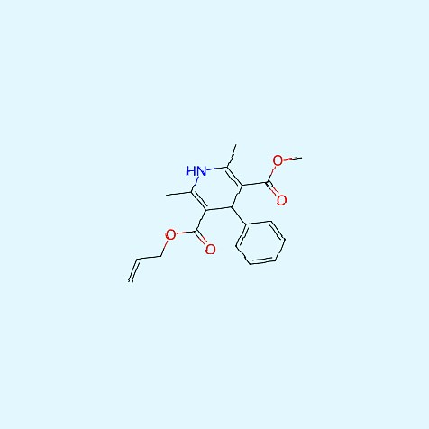 C=CCOC(=O)C1=C(C)NC(C)=C(C(=O)OC)C1c1ccccc1